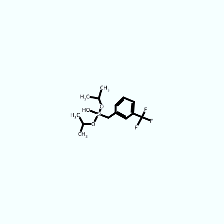 CC(C)O[Si](O)(Cc1cccc(C(F)(F)F)c1)OC(C)C